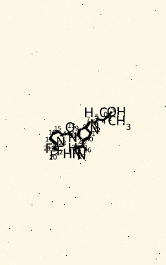 CC(C)(O)CCn1cc2cc(NC(=O)c3cccc(C(F)(F)F)n3)c(-c3cn[nH]c3)cc2n1